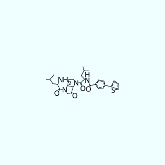 CC(C)CC(N)C(=O)N1CC(=O)C2C1CCN2C(=O)C(CC(C)C)NC(=O)c1ccc(-c2cccs2)cc1